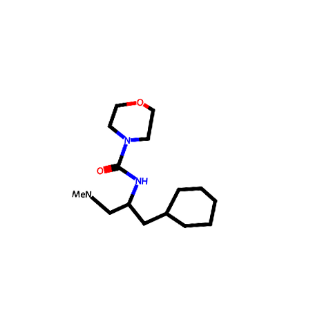 CNCC(CC1CCCCC1)NC(=O)N1CCOCC1